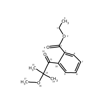 CCOC(=O)c1ccccc1C(=O)C(C)(C)OC